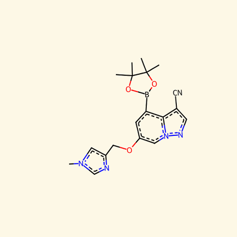 Cn1cnc(COc2cc(B3OC(C)(C)C(C)(C)O3)c3c(C#N)cnn3c2)c1